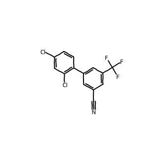 N#Cc1cc(-c2ccc(Cl)cc2Cl)cc(C(F)(F)F)c1